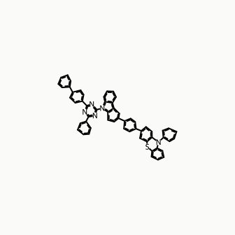 c1ccc(-c2ccc(-c3nc(-c4ccccc4)nc(-n4c5ccccc5c5cc(-c6ccc(-c7ccc8c(c7)Sc7ccccc7N8c7ccccc7)cc6)ccc54)n3)cc2)cc1